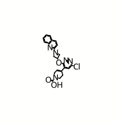 O=C(O)N1CC=C(c2cc(Cl)nnc2OC2CN(c3ccc4ccccc4n3)C2)CC1